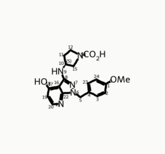 COc1ccc(Cn2nc(N[C@H]3CCN(C(=O)O)C3)c3c(O)ccnc32)cc1